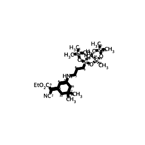 CCOC(=O)/C(C#N)=C1\C=C(NCCC[Si](C)(O[Si](C)(C)C)O[Si](C)(C)O[Si](C)(C)C)CC(C)(C)C1